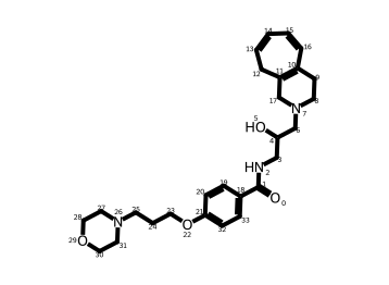 O=C(NCC(O)CN1CCC2=C(CC=CC=C2)C1)c1ccc(OCCCN2CCOCC2)cc1